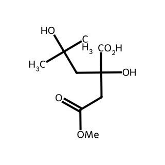 COC(=O)CC(O)(CC(C)(C)O)C(=O)O